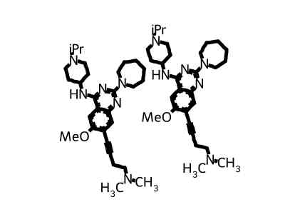 COc1cc2c(NC3CCN(C(C)C)CC3)nc(N3CCCCCC3)nc2cc1C#CCCN(C)C.COc1cc2c(NC3CCN(C(C)C)CC3)nc(N3CCCCCC3)nc2cc1C#CCCN(C)C